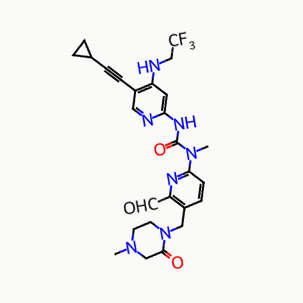 CN1CCN(Cc2ccc(N(C)C(=O)Nc3cc(NCC(F)(F)F)c(C#CC4CC4)cn3)nc2C=O)C(=O)C1